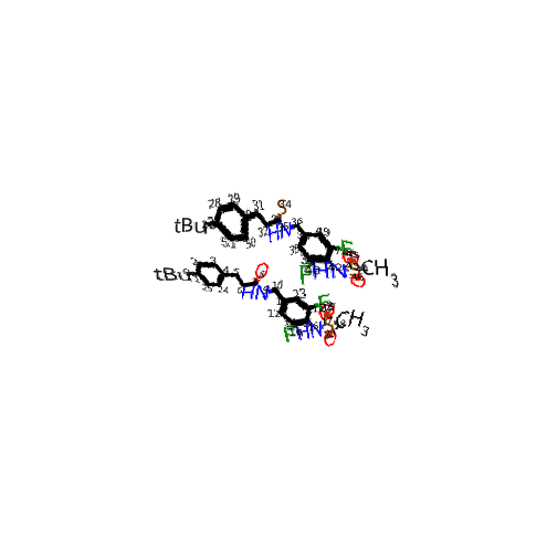 CC(C)(C)c1ccc(CCC(=O)NCc2cc(F)c(NS(C)(=O)=O)c(F)c2)cc1.CC(C)(C)c1ccc(CCC(=S)NCc2cc(F)c(NS(C)(=O)=O)c(F)c2)cc1